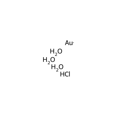 Cl.O.O.O.[Au]